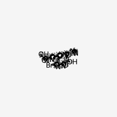 O=C1O[C@@H](Cn2ccnn2)CN1c1ccc(-c2ccc(C3=NO[C@H](CO)C3)nc2)c(F)c1.OC[C@@H]1CC(c2ccc(Br)cn2)=NO1